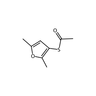 CC(=O)Sc1cc(C)oc1C